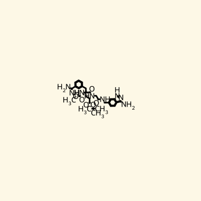 COC(=O)N[C@](CCC(=O)OC(C)(C)C)(Cc1cccc(C(=N)N)c1)C(=O)NCC(=O)NCc1ccc2c(N)n[nH]c2c1